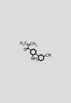 CN(C)C(=O)c1ccc(-c2cccc(C#N)c2)c(N)c1